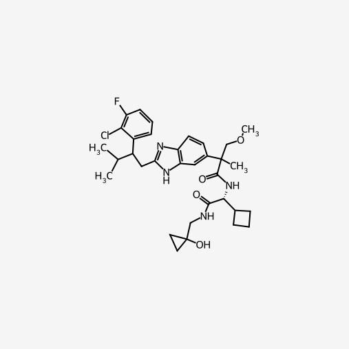 COCC(C)(C(=O)N[C@@H](C(=O)NCC1(O)CC1)C1CCC1)c1ccc2nc(CC(c3cccc(F)c3Cl)C(C)C)[nH]c2c1